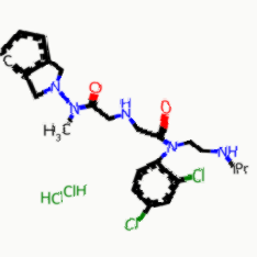 CC(C)NCCN(C(=O)CNCC(=O)N(C)N1Cc2ccccc2C1)c1ccc(Cl)cc1Cl.Cl.Cl